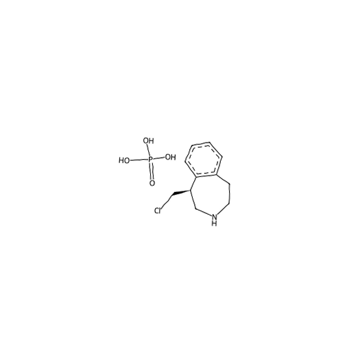 ClC[C@@H]1CNCCc2ccccc21.O=P(O)(O)O